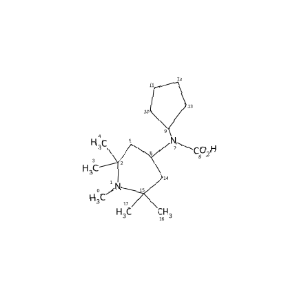 CN1C(C)(C)CC(N(C(=O)O)C2CCCC2)CC1(C)C